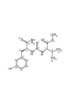 COC(=O)C(NC(=O)N[C@@H](Cc1cccc(F)c1)C(N)=O)C(C)C